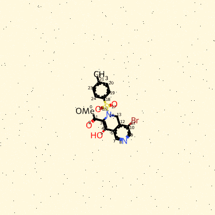 COC(=O)C1=C(O)c2cncc(Br)c2CN1S(=O)(=O)c1ccc(C)cc1